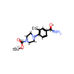 CCc1cc(C(N)=O)ccc1N1CCN(C(=O)OC(C)(C)C)CC1